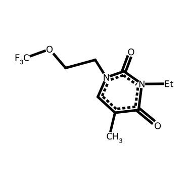 CCn1c(=O)c(C)cn(CCOC(F)(F)F)c1=O